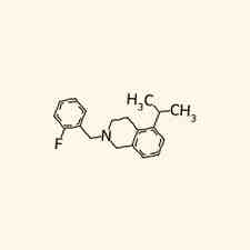 CC(C)c1cccc2c1CCN(Cc1ccccc1F)C2